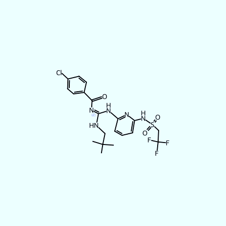 CC(C)(C)CN/C(=N/C(=O)c1ccc(Cl)cc1)Nc1cccc(NS(=O)(=O)CC(F)(F)F)n1